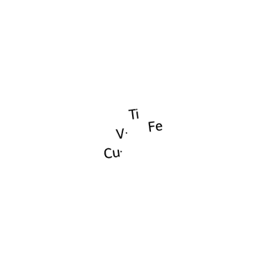 [Cu].[Fe].[Ti].[V]